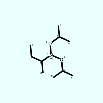 CCC(C)[SiH](OC(C)C)OC(C)C